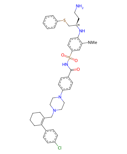 CNc1cc(S(=O)(=O)NC(=O)c2ccc(N3CCN(CC4=C(c5ccc(Cl)cc5)CCCC4)CC3)cc2)ccc1N[C@H](CCN)CSc1ccccc1